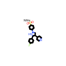 CNS(=O)(=O)c1ccc(N2CC(c3ccncc3)=C(c3ccc(F)cc3)N2)cc1